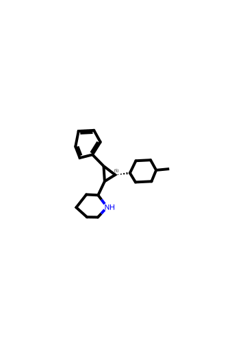 CC1CCC([C@H]2C(c3ccccc3)C2C2CCCCN2)CC1